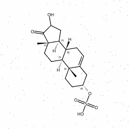 C[C@]12CC[C@@H](OS(=O)(=O)O)CC1=CC[C@@H]1[C@@H]2CC[C@]2(C)C(=O)C(O)C[C@@H]12